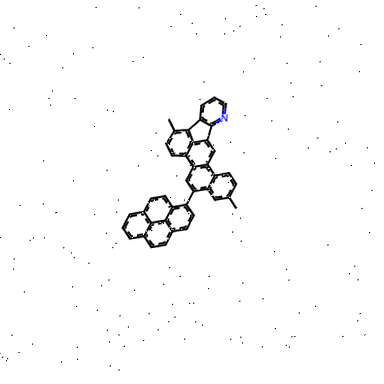 Cc1ccc2c(c1)c(-c1ccc3ccc4cccc5ccc1c3c45)cc1c3ccc(C)c4c3c(cc21)-c1ncccc1-4